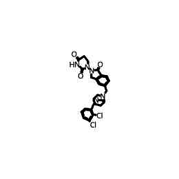 O=C1CCN(N2Cc3cc(CN4CC5CCC4CN5c4cccc(Cl)c4Cl)ccc3C2=O)C(=O)N1